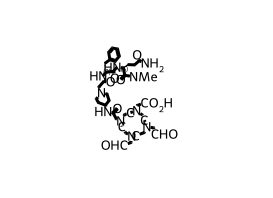 CNC(=O)[C@H](CCC(N)=O)NC(=O)[C@@H](Cc1ccccc1)NC(=O)CN1CCC(NC(=O)CN2CCN(CC=O)CCN(CC=O)CCN(CC(=O)O)CC2)CC1